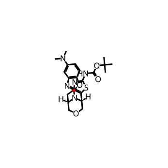 CN(C)c1ccc2oc(N3[C@@H]4COC[C@H]3c3sc(NC(=O)OC(C)(C)C)nc3C4)nc2c1